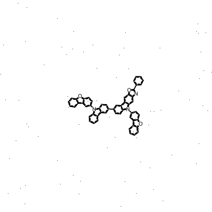 c1ccc(-c2nc3cc4c(cc3o2)c2cc(-c3ccc5c(c3)c3ccccc3n5-c3ccc5oc6ccccc6c5c3)ccc2n4-c2ccc3oc4ccccc4c3c2)cc1